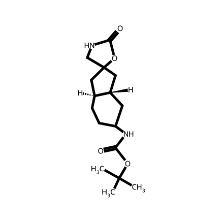 CC(C)(C)OC(=O)NC1CC[C@H]2CC3(CNC(=O)O3)C[C@@H]2C1